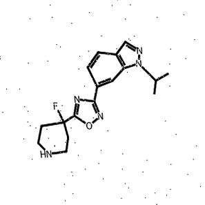 CC(C)n1ncc2ccc(-c3noc(C4(F)CCNCC4)n3)cc21